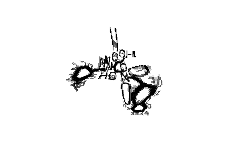 COc1c(C(=O)N(C)[C@@H]2OC(CO)C(O)=C(n3cc(-c4cccc(F)c4)nn3)C2O)ccc2ccccc12